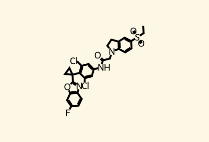 CCS(=O)(=O)c1ccc2c(c1)CCN2CC(=O)Nc1cc(Cl)c(C2(c3nc4ccc(F)cc4o3)CC2)c(Cl)c1